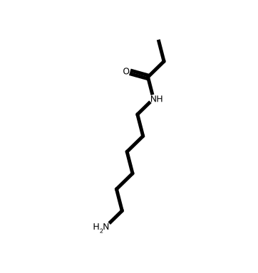 CCC(=O)NCCCCCCN